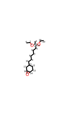 CCO[Si](C)(CCCCCCC1CCC2OC2C1)OCC